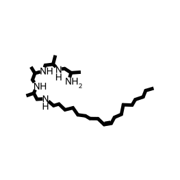 CCCCCCCC/C=C\CCCCCCCCNCC(C)NCC(C)NCC(C)NCC(C)N